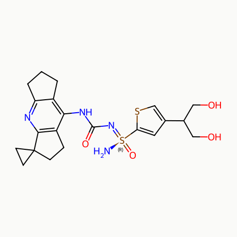 N[S@@](=O)(=NC(=O)Nc1c2c(nc3c1CCC31CC1)CCC2)c1cc(C(CO)CO)cs1